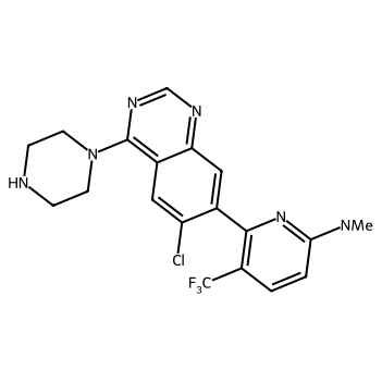 CNc1ccc(C(F)(F)F)c(-c2cc3ncnc(N4CCNCC4)c3cc2Cl)n1